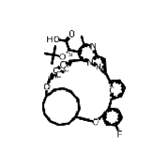 Cc1nc2cc3nn2c(c1[C@H](OC(C)(C)C)C(=O)O)-c1ccc(cc1)OC1CCCCCC(CCCCC1)Oc1cc(F)ccc1-c1cccc-3c1